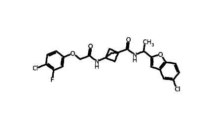 CC(NC(=O)C12CC(NC(=O)COc3ccc(Cl)c(F)c3)(C1)C2)c1cc2cc(Cl)ccc2o1